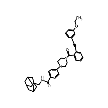 CCOc1cccc(C#Cc2ccccc2C(=O)N2CCN(c3ccc(C(=O)NCC45CC6CC(CC(C6)C4)C5)cc3)CC2)c1